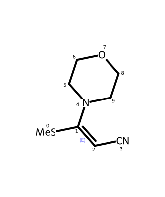 CS/C(=C/C#N)N1CCOCC1